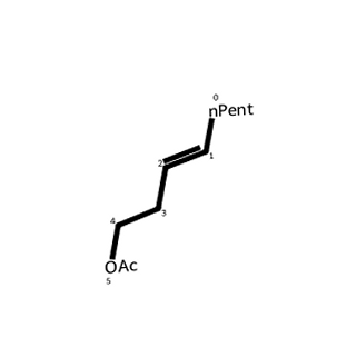 CCCCCC=CCCOC(C)=O